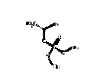 CCCCOP(=O)(OCCCC)O[C@H](C(=O)O)C(C)C